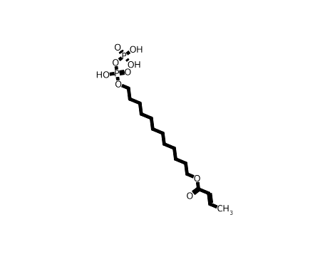 CC=CC(=O)OCCCCCCCCCCCCOP(=O)(O)OP(=O)(O)O